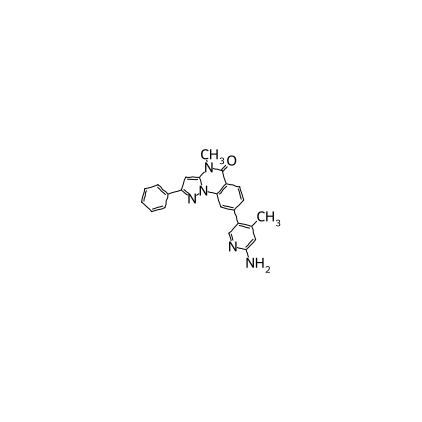 Cc1cc(N)ncc1-c1ccc2c(=O)n(C)c3cc(-c4ccccc4)nn3c2c1